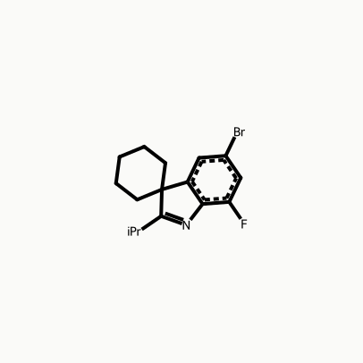 CC(C)C1=Nc2c(F)cc(Br)cc2C12CCCCC2